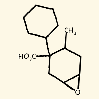 CC1CC2OC2CC1(C(=O)O)C1CCCCC1